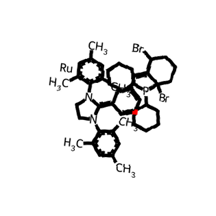 Cc1cc(C)c(N2CCN(c3c(C)cc(C)cc3C)C2=C2C=CC=C(C=C3C(Br)CCCC3(Br)P(C3CCCCC3)C3CCCCC3)C2)c(C)c1.[Ru]